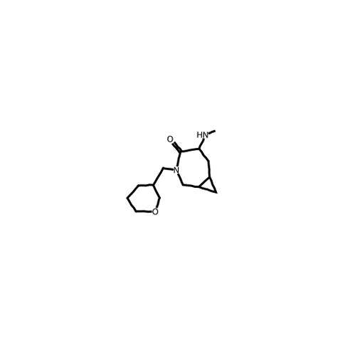 CNC1CC2CC2CN(CC2CCCOC2)C1=O